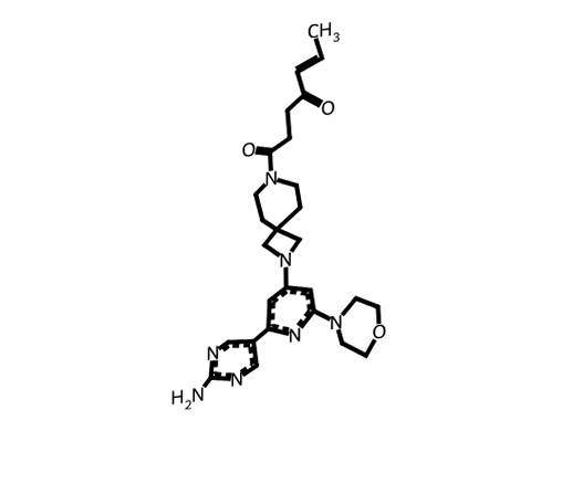 CC=CC(=O)CCC(=O)N1CCC2(CC1)CN(c1cc(-c3cnc(N)nc3)nc(N3CCOCC3)c1)C2